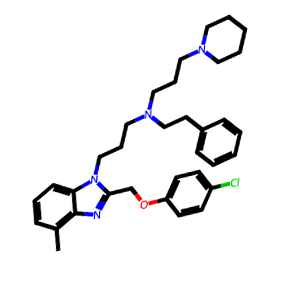 Cc1cccc2c1nc(COc1ccc(Cl)cc1)n2CCCN(CCCN1CCCCC1)CCc1ccccc1